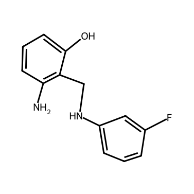 Nc1cccc(O)c1CNc1cccc(F)c1